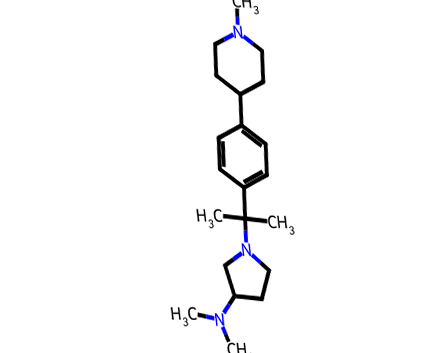 CN1CCC(c2ccc(C(C)(C)N3CCC(N(C)C)C3)cc2)CC1